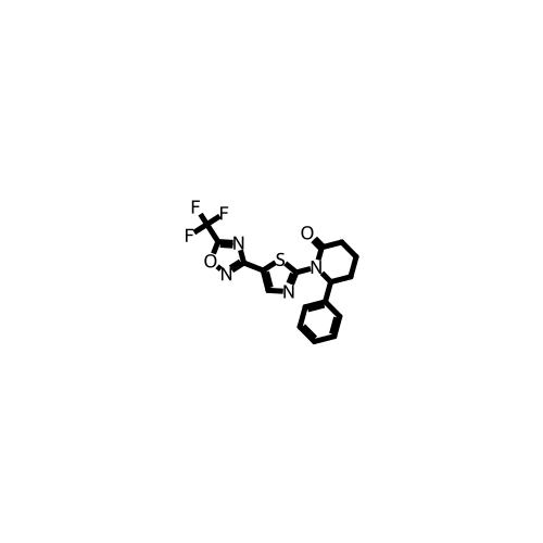 O=C1CCCC(c2ccccc2)N1c1ncc(-c2noc(C(F)(F)F)n2)s1